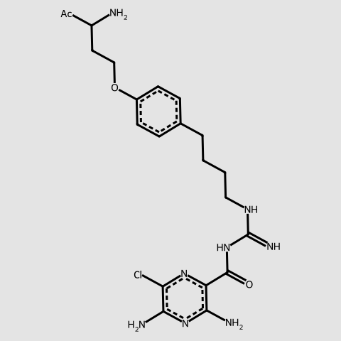 CC(=O)C(N)CCOc1ccc(CCCCNC(=N)NC(=O)c2nc(Cl)c(N)nc2N)cc1